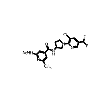 CC(=O)Nc1cc(C(=O)NC2CCN(c3ncc(C(F)F)cc3Cl)C2)cc(C)n1